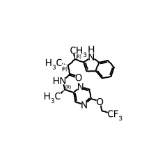 C[C@@H](NC(=O)[C@H](C)[C@@H](C)c1cc2ccccc2[nH]1)c1cnc(OCC(F)(F)F)cn1